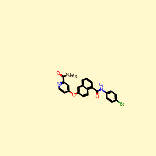 CNC(=O)c1cc(Oc2ccc3c(C(=O)Nc4ccc(Br)cc4)cccc3c2)ccn1